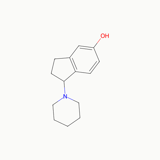 Oc1ccc2c(c1)CCC2N1CCCCC1